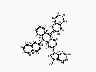 Cc1sc(-c2ccc3c(-c4ccc5c(c4)C=CCC5)c4ccccc4c(-c4ccc5ccccc5c4)c3c2)c2nccnc12